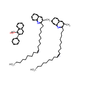 Cc1cc2ccccc2nc1CCCCCCCC/C=C\CCCCCCCC(=O)O.Cc1cc2ccccc2nc1CCCCCCCC/C=C\CCCCCCCC(=O)O.Oc1c(-c2ccccc2)ccc2ccccc12.[Al+3]